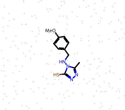 COc1ccc(CNn2c(C)nnc2S)cc1